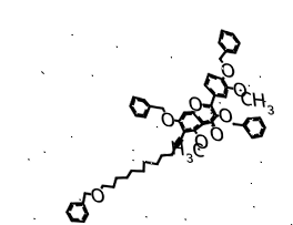 COc1cc(-c2oc3cc(OCc4ccccc4)c(C#CCCCCCCCCCCOCc4ccccc4)c(OC)c3c(=O)c2OCc2ccccc2)ccc1OCc1ccccc1